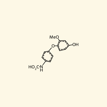 COc1cc(O)ccc1Oc1ccc(NC(=O)O)cc1